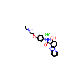 CCNCCOc1ccc(NC(=O)C2=C(O)CCc3c2nc2ccccn32)cc1.Cl